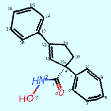 O=C(NO)[C@]1(c2ccccc2)C=C(c2ccccc2)CC1